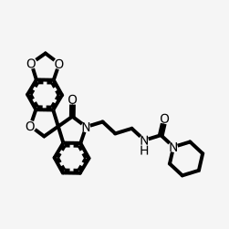 O=C(NCCCN1C(=O)C2(COc3cc4c(cc32)OCO4)c2ccccc21)N1CCCCC1